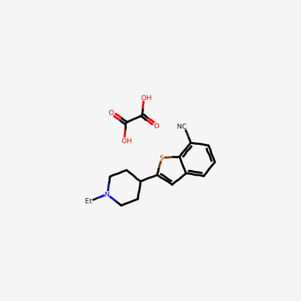 CCN1CCC(c2cc3cccc(C#N)c3s2)CC1.O=C(O)C(=O)O